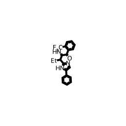 CCC(C(=N)C(=O)c1ccccc1C(F)(F)F)c1ncc(-c2ccccc2)[nH]1